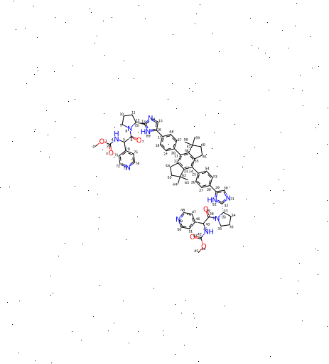 COC(=O)NC(C(=O)N1CCC[C@H]1c1ncc(-c2ccc(-c3c4c(c(-c5ccc(-c6cnc([C@@H]7CCCN7C(=O)C(NC(=O)OC)c7ccncc7)[nH]6)cc5)c5c3C(C)(C)CC5)C(C)(C)CC4)cc2)[nH]1)c1ccncc1